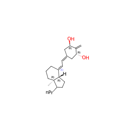 C=C1[C@H](O)CC(=C/C=C2\CCC[C@]3(C)C(CCC)CC[C@@H]23)C[C@H]1O